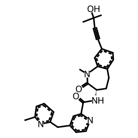 Cc1cccc(Cc2ccnc(C(=O)N[C@H]3CCc4ccc(C#CC(C)(C)O)cc4N(C)C3=O)c2)n1